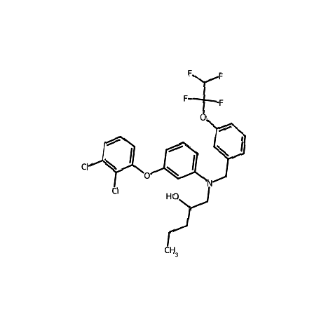 CCCC(O)CN(Cc1cccc(OC(F)(F)C(F)F)c1)c1cccc(Oc2cccc(Cl)c2Cl)c1